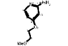 COCCOc1ccnc([AsH2])c1